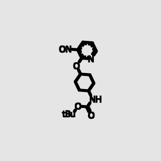 CC(C)(C)OC(=O)NC1CCC(Oc2ncccc2N=O)CC1